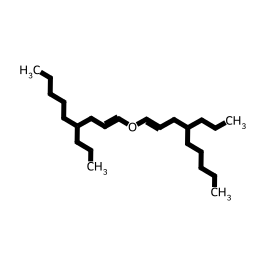 CCCCCC(CC=COC=CCC(CCC)CCCCC)CCC